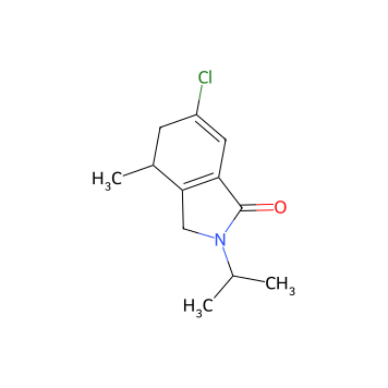 CC1CC(Cl)=CC2=C1CN(C(C)C)C2=O